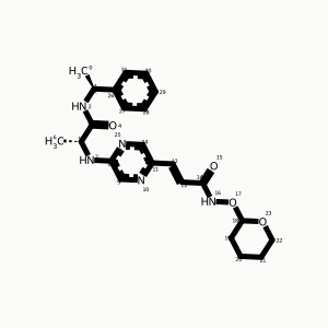 C[C@H](NC(=O)[C@@H](C)Nc1cnc(/C=C/C(=O)NOC2CCCCO2)cn1)c1ccccc1